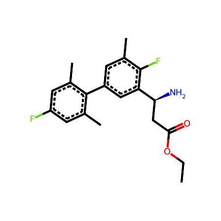 CCOC(=O)C[C@H](N)c1cc(-c2c(C)cc(F)cc2C)cc(C)c1F